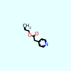 C=CCOC(=O)Cc1ccncc1